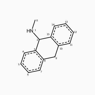 CNC1c2ccccc2Cc2ccccc21